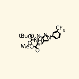 COC(=O)[C@H](Cc1cn(-c2cccc(C(F)(F)F)c2)nc1[N+](=O)[O-])NC(=O)OC(C)(C)C